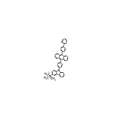 C[Si](C)(C)c1ccc2c(c1)c1ccccc1n2-c1ccc(-c2c3ccccc3c(-c3ccc(-c4ccccn4)cc3)c3ccccc23)cc1